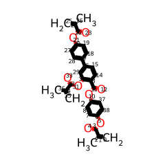 C=C(C)C(=O)Oc1ccc(OC(=O)c2ccc(-c3ccc(OC(=O)C(=C)C)cc3)cc2OC(=O)C(=C)C)cc1